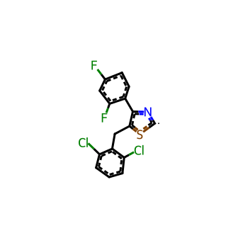 Fc1ccc(-c2n[c]sc2Cc2c(Cl)cccc2Cl)c(F)c1